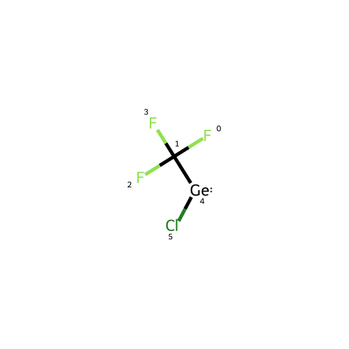 F[C](F)(F)[Ge][Cl]